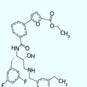 CCOC(=O)c1ccc(-c2cccc(C(=O)N[C@@H](Cc3cc(F)cc(F)c3)[C@H](O)CNCc3cccc(CC)c3)c2)o1